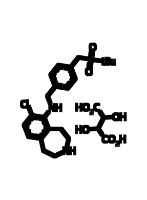 CC(C)(C)S(=O)(=O)Cc1ccc(CNc2c(Cl)ccc3c2CCNCC3)cc1.O=C(O)C(O)C(O)C(=O)O